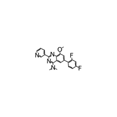 COc1cc(-c2ccc(F)cc2F)cc2c(N(C)C)nc(-c3cccnc3)nc12